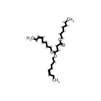 CC/C=C\CCCCOC(CCC(=O)OC[CH]CCCCC)OCCCC/C=C\CC